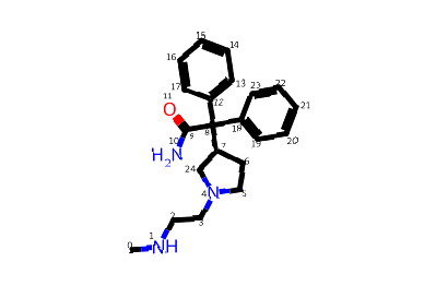 CNCCN1CCC(C(C(N)=O)(c2ccccc2)c2ccccc2)C1